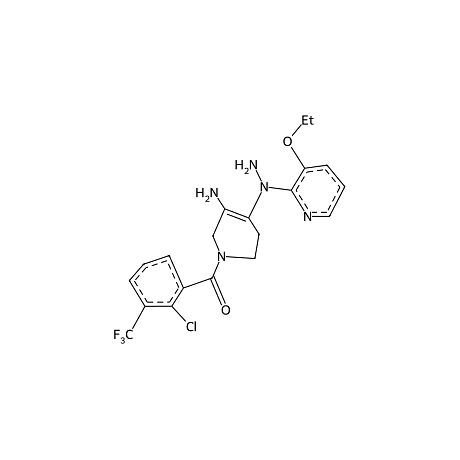 CCOc1cccnc1N(N)C1=C(N)CN(C(=O)c2cccc(C(F)(F)F)c2Cl)CC1